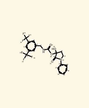 O=C(NCc1cc(C(F)(F)F)cc(C(F)(F)F)c1)OC1(O)CCN(c2ccccc2)C1=O